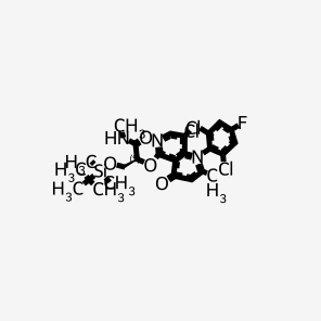 CNC(=O)[C@H](CO[Si](C)(C)C(C)(C)C)Oc1ncc(Cl)c2c1c(=O)cc(C)n2-c1c(Cl)cc(F)cc1Cl